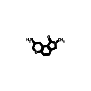 CN1Cc2ccc3c(c2C1=O)CC(N)CO3